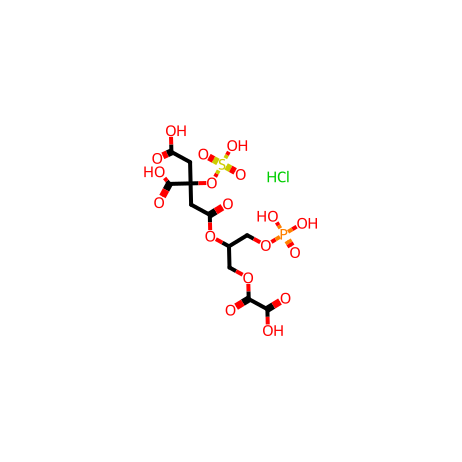 Cl.O=C(O)CC(CC(=O)OC(COC(=O)C(=O)O)COP(=O)(O)O)(OS(=O)(=O)O)C(=O)O